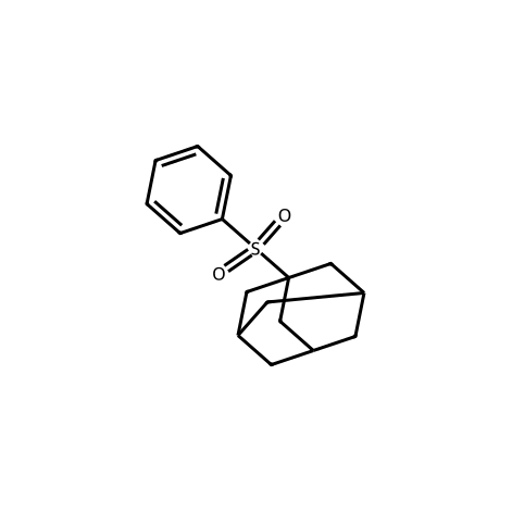 O=S(=O)(c1ccccc1)C12CC3CC(CC(C3)C1)C2